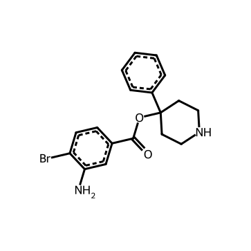 Nc1cc(C(=O)OC2(c3ccccc3)CCNCC2)ccc1Br